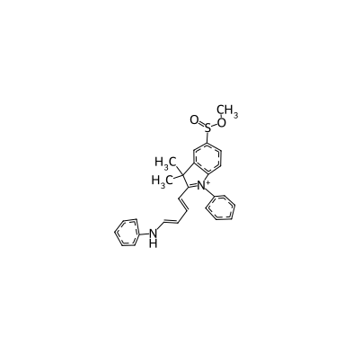 COS(=O)c1ccc2c(c1)C(C)(C)C(/C=C/C=C/Nc1ccccc1)=[N+]2c1ccccc1